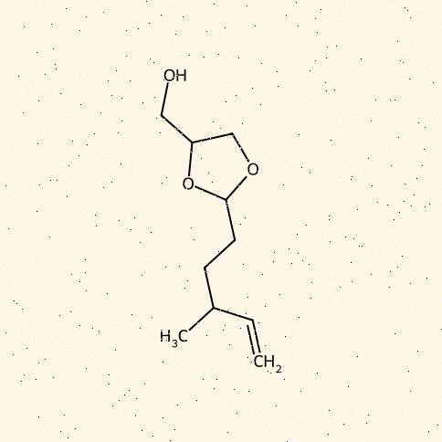 C=CC(C)CCC1OCC(CO)O1